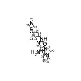 C=CCn1c(=O)c(/C=N\C(=C)Nc2ccc(OC3CN(C)C3)c(C)c2)c(N)n1-c1ccccn1